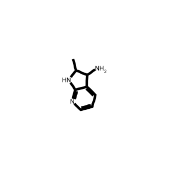 CC1Nc2ncccc2C1N